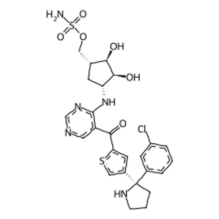 NS(=O)(=O)OC[C@H]1C[C@@H](Nc2ncncc2C(=O)c2cc([C@]3(c4cccc(Cl)c4)CCCN3)cs2)[C@H](O)[C@@H]1O